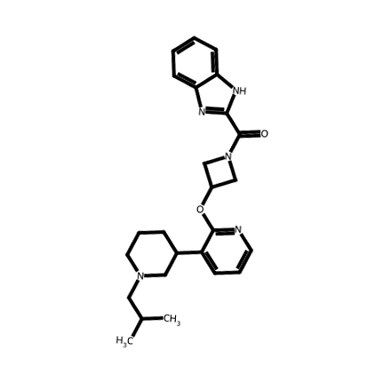 CC(C)CN1CCCC(c2cccnc2OC2CN(C(=O)c3nc4ccccc4[nH]3)C2)C1